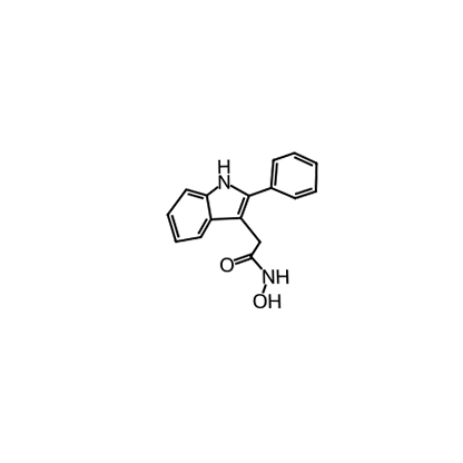 O=C(Cc1c(-c2ccccc2)[nH]c2ccccc12)NO